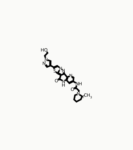 C[C@@H]1CCCCN1CC(=O)Nc1cnc2c(c1)[nH]c(=O)c1c2nn2cc(-c3cnn(CCO)c3)sc12